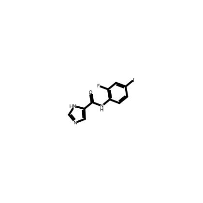 O=C(Nc1ccc(I)cc1F)c1cnc[nH]1